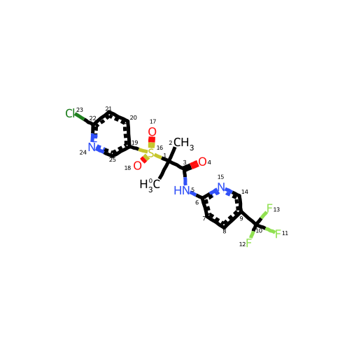 CC(C)(C(=O)Nc1ccc(C(F)(F)F)cn1)S(=O)(=O)c1ccc(Cl)nc1